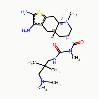 CN(C)CC(C)(C)CNC(=O)N(C)C(=O)[C@@H]1C[C@@H]2Cc3c(sc(N)c3N)C[C@H]2N(C)C1